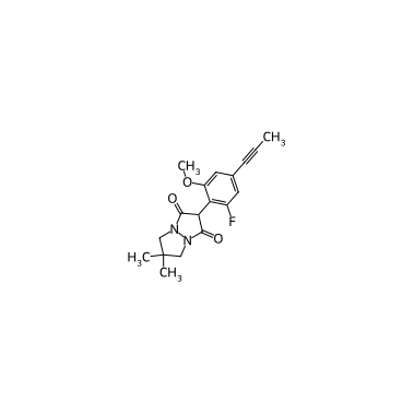 CC#Cc1cc(F)c(C2C(=O)N3CC(C)(C)CN3C2=O)c(OC)c1